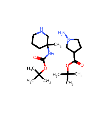 CC(C)(C)OC(=O)C1CCN(N)C1.CC1(NC(=O)OC(C)(C)C)CCCNC1